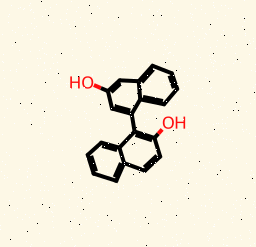 Oc1cc(-c2c(O)ccc3ccccc23)c2ccccc2c1